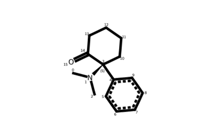 CN(C)[C@]1(c2ccccc2)CCCCC1=O